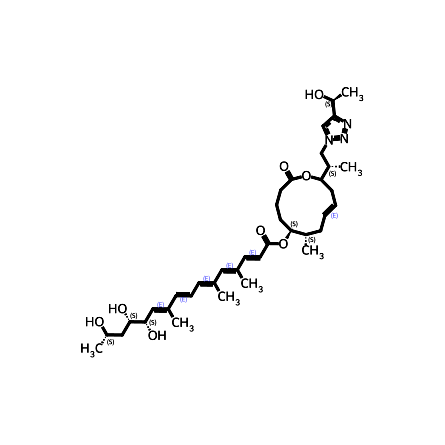 CC(=C\C=C\C(C)=C\[C@H](O)[C@@H](O)C[C@H](C)O)/C=C(C)/C=C/C(=O)O[C@H]1CCCC(=O)OC([C@@H](C)Cn2cc([C@H](C)O)nn2)C/C=C/C[C@@H]1C